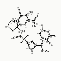 COC(=O)c1cn(C(C)(C)C(=O)NC23CCC(CC2)Cn2c3nc(C(=O)NCc3ccc(F)c(C)c3)c(O)c2=O)nn1